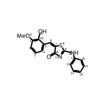 COc1cccc(C=C2SC(Nc3ccccc3)=NC2=O)c1O